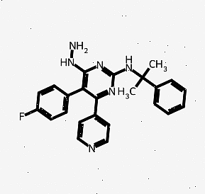 CC(C)(Nc1nc(NN)c(-c2ccc(F)cc2)c(-c2ccncc2)n1)c1ccccc1